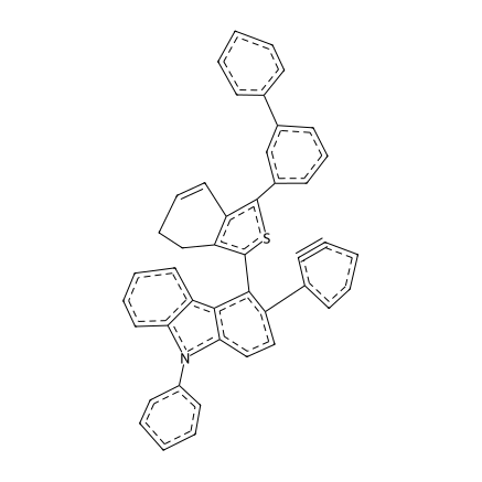 c1cccc(-c2ccc3c(c2-c2sc(-c4cccc(-c5ccccc5)c4)c4c2CCC=C4)c2ccccc2n3-c2ccccc2)c#1